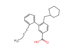 CCCCc1ccccc1-c1cc(C(=O)O)ccc1CC1CCCCC1